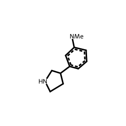 CNc1cccc(C2CCNC2)c1